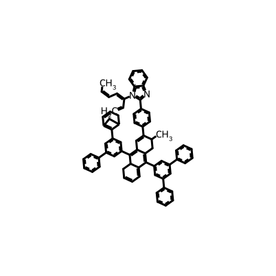 C=C/C(=C\C=C/C)n1c(-c2ccc(C3=CC4=C(c5cc(C6=C7C=CCC6C7)cc(-c6ccccc6)c5)C5CC=CC=C5C(c5cc(-c6ccccc6)cc(-c6ccccc6)c5)=C4CC3C)cc2)nc2ccccc21